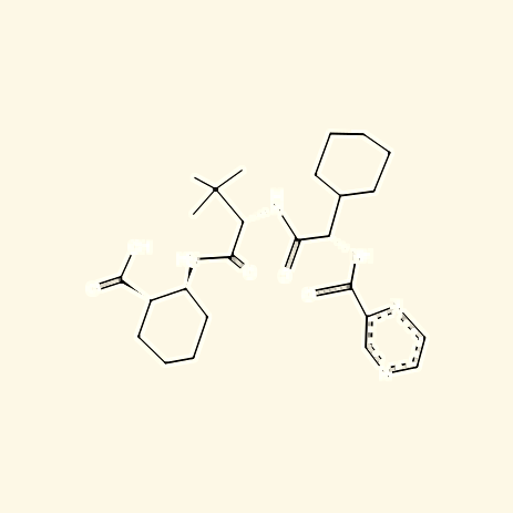 CC(C)(C)[C@H](NC(=O)[C@@H](NC(=O)c1cnccn1)C1CCCCC1)C(=O)N[C@H]1CCCC[C@H]1C(=O)O